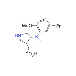 COc1ccc(C(C)C)cc1N(C)C1CNCC1CC(=O)O